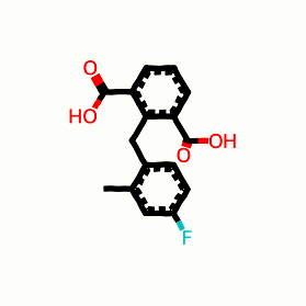 Cc1cc(F)ccc1Cc1c(C(=O)O)cccc1C(=O)O